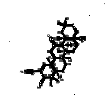 CC1(C)CC[C@]2(O)CC[C@]3(C)[C@H](C(=O)CC4[C@@]5(C)C=C(C#N)C(=O)C(C)(C)[C@@H]5CC[C@]43C)[C@@H]2C1